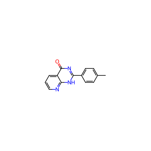 Cc1ccc(-c2nc(=O)c3cccnc3[nH]2)cc1